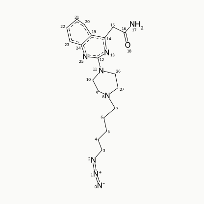 [N-]=[N+]=NCCCCCN1CCN(c2nc(CC(N)=O)c3ccccc3n2)CC1